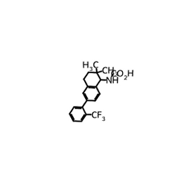 CC1(C)CCc2cc(-c3ccccc3C(F)(F)F)ccc2C1NC(=O)O